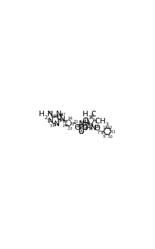 CC[C@H](C)[C@H](NOCc1ccccc1)C(=O)OP(N)(=O)OC[C@H]1C=C[C@@H](n2cnc3c(N)ncnc32)C1